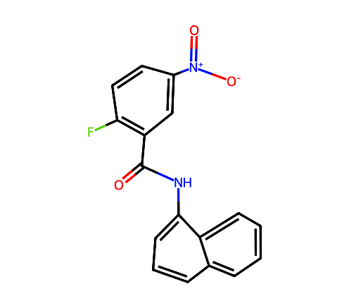 O=C(Nc1cccc2ccccc12)c1cc([N+](=O)[O-])ccc1F